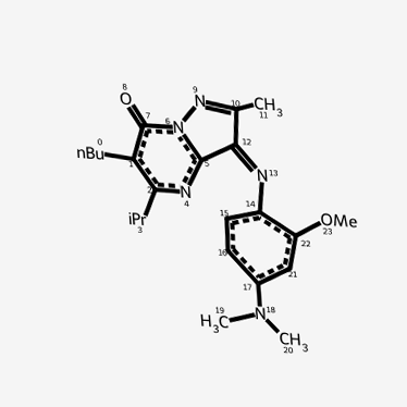 CCCCc1c(C(C)C)nc2n(c1=O)N=C(C)C2=Nc1ccc(N(C)C)cc1OC